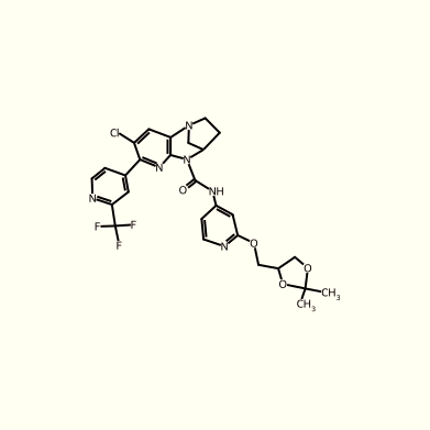 CC1(C)OCC(COc2cc(NC(=O)N3c4nc(-c5ccnc(C(F)(F)F)c5)c(Cl)cc4N4CCC3C4)ccn2)O1